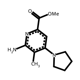 COC(=O)c1cc(N2CCCC2)c(C)c(N)n1